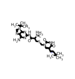 CNC(CSCn1cc(/C=C/C(C)(C)C)c(=O)[nH]c1=O)C(=O)Nc1nc(N)c2ncn(C(C)(C)C)c2n1